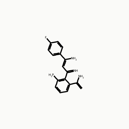 C=C(N)c1cccc(P)c1C(=N)/C=C(\N)c1ccc(F)cc1